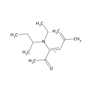 C=C(C)/C=C(/C(C)=O)N(CC)C(C)CC